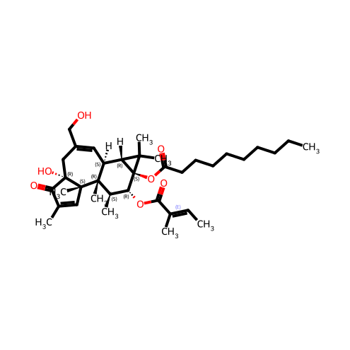 C/C=C(\C)C(=O)O[C@@H]1[C@@H](C)[C@@]2(C)[C@@H](C=C(CO)C[C@]3(O)C(=O)C(C)=C[C@@]23C)[C@@H]2C(C)(C)[C@]12OC(=O)CCCCCCCCC